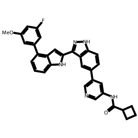 COc1cc(F)cc(-c2cccc3[nH]c(-c4n[nH]c5ccc(-c6cncc(NC(=O)C7CCC7)c6)cc45)cc23)c1